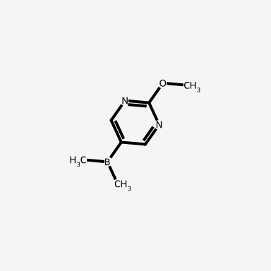 COc1ncc(B(C)C)cn1